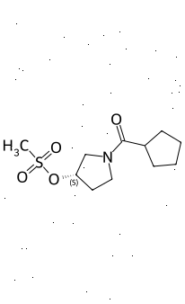 CS(=O)(=O)O[C@H]1CCN(C(=O)C2CCCC2)C1